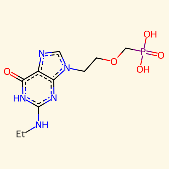 CCNc1nc2c(ncn2CCOCP(=O)(O)O)c(=O)[nH]1